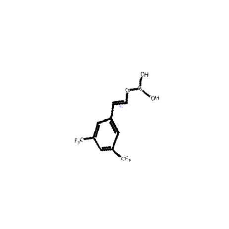 OB(O)O/C=C/c1cc(C(F)(F)F)cc(C(F)(F)F)c1